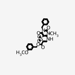 COc1cccc(COC(=O)C2=CNc3c(c(=O)n(Cc4ccccc4)c(=O)n3C)S2(=O)=O)c1